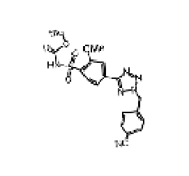 COc1cc(-c2nnn(Cc3ccc(C#N)cc3)n2)ccc1S(=O)(=O)NC(=O)OC(C)(C)C